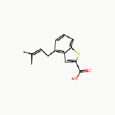 CC(C)=CCc1cccc2sc(C(=O)O)cc12